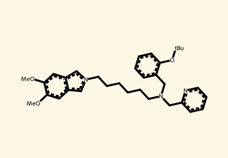 COc1cc2cn(CCCCCCN(Cc3ccccn3)Cc3ccccc3OC(C)(C)C)cc2cc1OC